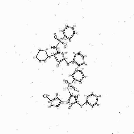 O=S(=O)(Nc1nc(Cc2ccccc2)oc1-c1ccc(Cl)s1)c1ccccc1.O=S(=O)(Nc1nc(Cc2ccccc2)oc1C1CCCCC1)c1ccccc1